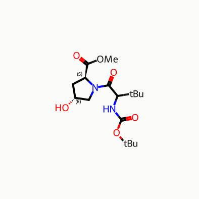 COC(=O)[C@@H]1C[C@@H](O)CN1C(=O)C(NC(=O)OC(C)(C)C)C(C)(C)C